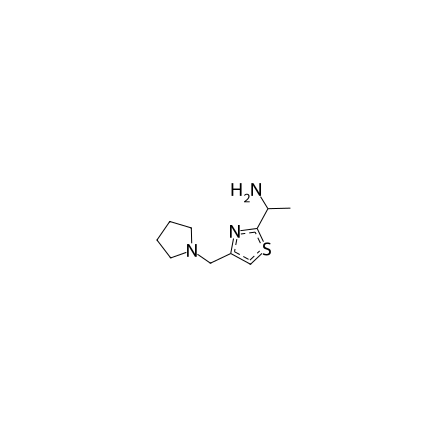 CC(N)c1nc(CN2CCCC2)cs1